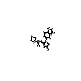 Cc1cn(-c2ccc3sccc3c2)c(=NC(=O)N2CCCC2)s1